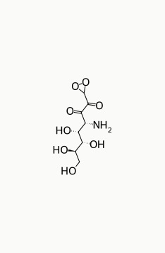 N[C@@H](C(=O)C(=O)C1OO1)[C@@H](O)[C@H](O)[C@H](O)CO